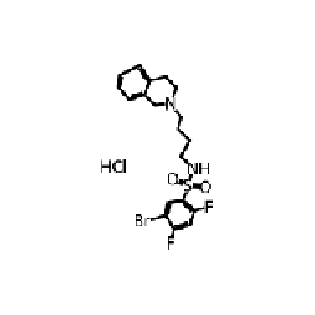 Cl.O=S(=O)(NCCCCN1CCc2ccccc2C1)c1cc(Br)c(F)cc1F